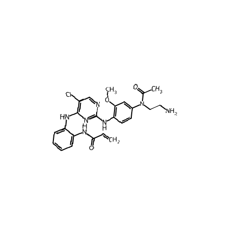 C=CC(=O)Nc1ccccc1Nc1nc(Nc2ccc(N(CCN)C(C)=O)cc2OC)ncc1Cl